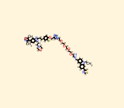 CCn1c2ccc(CNCCOCCOCCOCCOCCn3cc(COc4ccc(CCc5nc6cc(-c7c(C)noc7C)ccc6n5CCN5CCOCC5)cc4F)nn3)cc2c2ccc(-c3cscn3)cc21